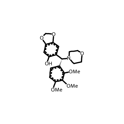 COc1ccc([C@H](c2cc3c(cc2O)OCO3)N2CCOCC2)c(OC)c1OC